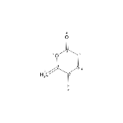 C=C1OC(=O)CSC1F